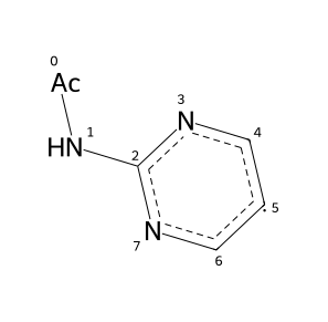 CC(=O)Nc1nc[c]cn1